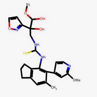 CCOC(O)C(O)(CNC(S)Nc1c2c(cc(C)c1-c1ccnc(OC)c1)CCC2)c1ccon1